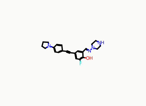 Oc1c(F)cc(C#Cc2ccc(N3CCCC3)cc2)cc1C=NN1CCNCC1